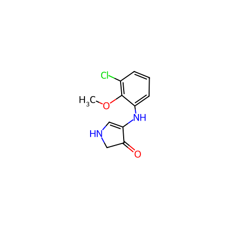 COc1c(Cl)cccc1NC1=CNCC1=O